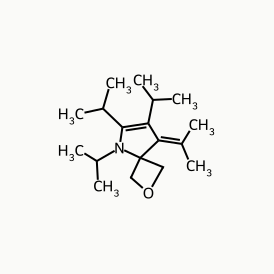 CC(C)=C1C(C(C)C)=C(C(C)C)N(C(C)C)C12COC2